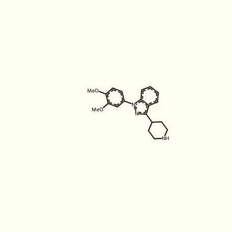 COc1ccc(-n2nc(C3CCNCC3)c3ccccc32)cc1OC